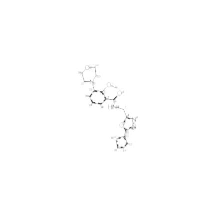 COc1c(C(=O)NCc2nnc(-c3cccs3)o2)cccc1N1CCOCC1